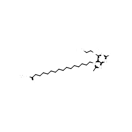 COC(=O)CCCCCCCCCCCCCCCn1c(C)nc2nc(Cl)nc(S(=O)(=O)CCN)c21